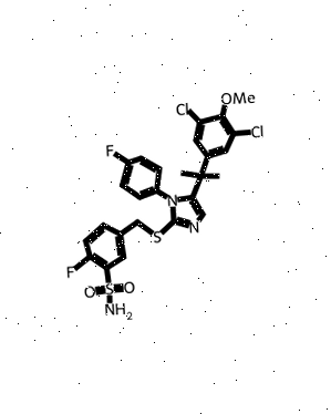 COc1c(Cl)cc(C(C)(C)c2cnc(SCc3ccc(F)c(S(N)(=O)=O)c3)n2-c2ccc(F)cc2)cc1Cl